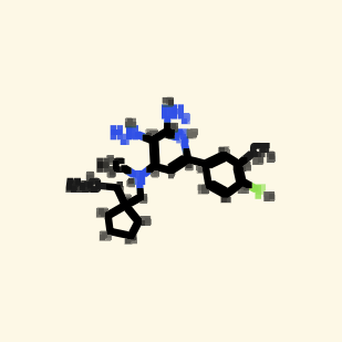 COCC1(CN(C)c2cc(-c3ccc(F)c(C(F)(F)F)c3)nc(N)c2N)CCCC1